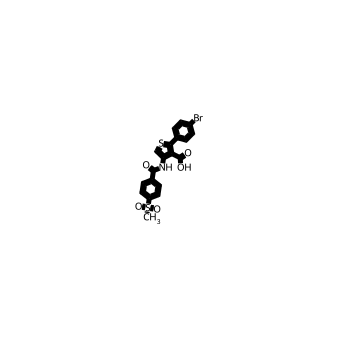 CS(=O)(=O)c1ccc(C(=O)Nc2csc(-c3ccc(Br)cc3)c2C(=O)O)cc1